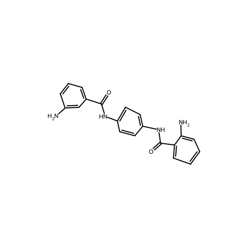 Nc1cccc(C(=O)Nc2ccc(NC(=O)c3ccccc3N)cc2)c1